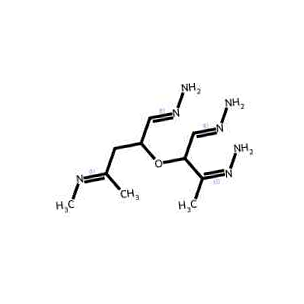 C/N=C(\C)CC(/C=N/N)OC(/C=N/N)/C(C)=N\N